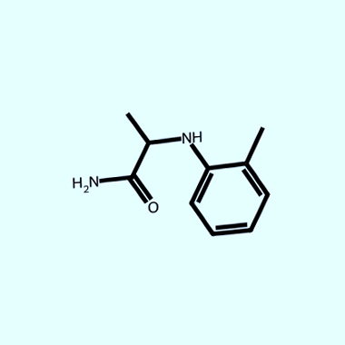 Cc1ccccc1NC(C)C(N)=O